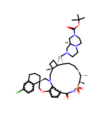 C[C@@H]1[C@@H](C)CCC[C@@H](CN2CCN3CCN(C(=O)OC(C)(C)C)C[C@@H]3C2)[C@@H]2CC[C@H]2CN2C[C@@]3(CCCc4cc(Cl)ccc43)COc3ccc(cc32)C(=O)NS1(=O)=O